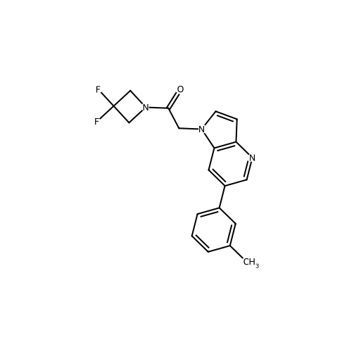 Cc1cccc(-c2cnc3ccn(CC(=O)N4CC(F)(F)C4)c3c2)c1